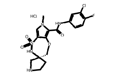 Cl.Cn1cc2c(c1C(=O)Nc1ccc(F)c(Cl)c1)OC[C@@]1(CCNC1)NS2(=O)=O